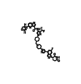 O=C1CCC(n2ncc3c(-c4cnn(C5CCN(CC6CCC(n7cc(NC(=O)c8cnn9ccc(N%10C[C@H]%11C[C@@H]%10CO%11)nc89)c(C(F)F)n7)CC6)CC5)c4)cc(F)cc32)C(=O)N1